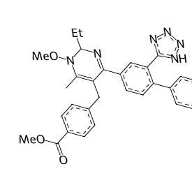 CCC1N=C(c2ccc(-c3ccccc3)c(-c3nnn[nH]3)c2)C(Cc2ccc(C(=O)OC)cc2)=C(C)N1OC